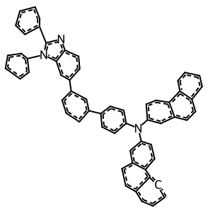 c1ccc(-c2nc3ccc(-c4cccc(-c5ccc(N(c6ccc7c(ccc8ccccc87)c6)c6ccc7c(ccc8ccccc87)c6)cc5)c4)cc3n2-c2ccccc2)cc1